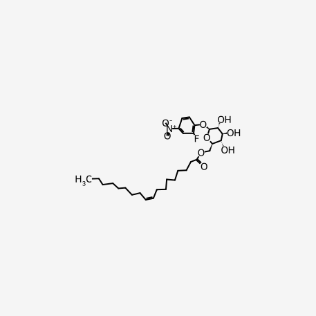 CCCCCCCC/C=C\CCCCCCCC(=O)OC[C@H]1O[C@@H](Oc2ccc([N+](=O)[O-])cc2F)[C@H](O)[C@@H](O)[C@@H]1O